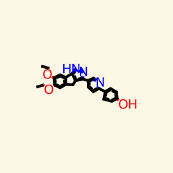 CCOc1cc2c(cc1OCC)-c1[nH]nc(-c3ccc(-c4ccc(O)cc4)nc3)c1C2